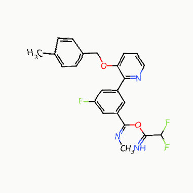 C/N=C(\OC(=N)C(F)F)c1cc(F)cc(-c2ncccc2OCc2ccc(C)cc2)c1